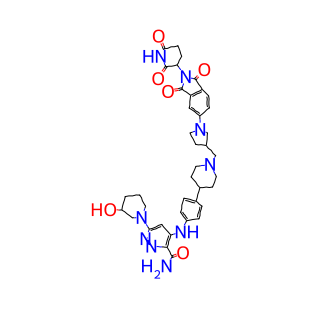 NC(=O)c1nnc(N2CCCC(O)C2)cc1Nc1ccc(C2CCN(CC3CCN(c4ccc5c(c4)C(=O)N(C4CCC(=O)NC4=O)C5=O)C3)CC2)cc1